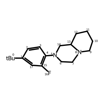 CC(C)(C)c1ccc(N2CCN3CCCCC3C2)c(F)c1